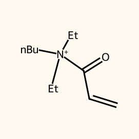 C=CC(=O)[N+](CC)(CC)CCCC